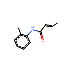 C/C=C/C(=O)Nc1ccccc1C